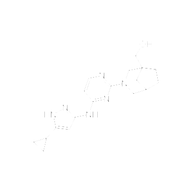 OCC12CCC(CN(c3nccc(Nc4cc(C5CC5)[nH]n4)n3)C1)C2